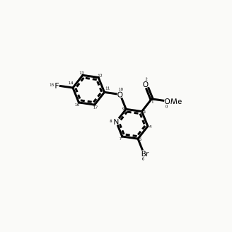 COC(=O)c1cc(Br)cnc1Oc1ccc(F)cc1